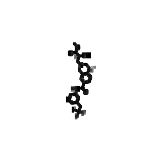 COC(=O)[C@@H](O)CN1Cc2cc(C(=O)Nc3cncc(CC(F)(F)F)c3)ccc2[C@@H](C)C1